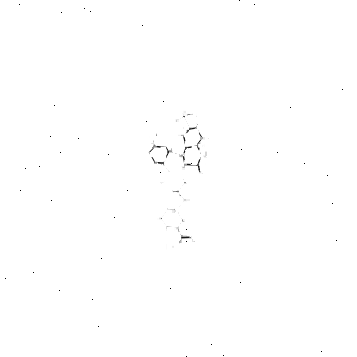 COc1ccc(Cl)cc1-c1c(SCC(O)CN2CCCC(C(=O)O)C2)c(=O)[nH]c2ccc(C(F)(F)F)cc12